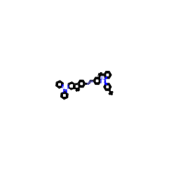 CC(C)(C)c1ccc(N2c3ccccc3C(C)(C)c3cc(/C=C/c4ccc5c(c4)C(C)(C)C4=C5C=CC(N(c5ccccc5)c5ccccc5)C4)ccc32)cc1